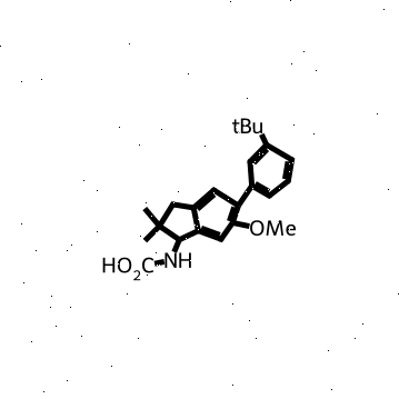 COc1cc2c(cc1-c1cccc(C(C)(C)C)c1)CC(C)(C)C2NC(=O)O